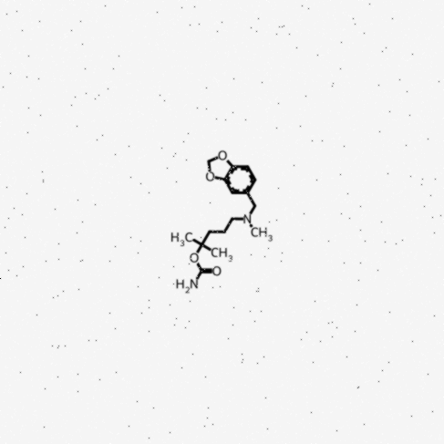 CN(CCCC(C)(C)OC(N)=O)Cc1ccc2c(c1)OCO2